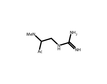 CNC(CNC(=N)N)C(C)=O